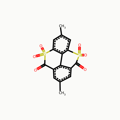 Cc1cc2c3c(c1)C(=O)S(=O)(=O)c1cc(C)cc(c1-3)S(=O)(=O)C2=O